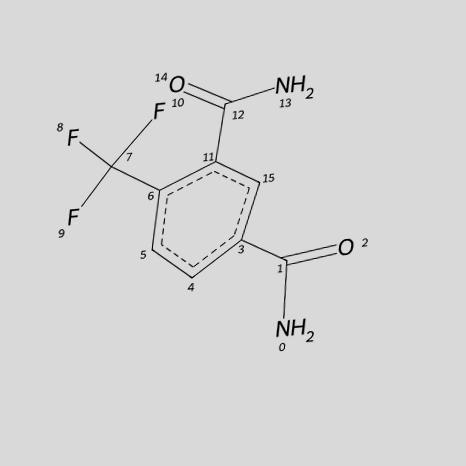 NC(=O)c1ccc(C(F)(F)F)c(C(N)=O)c1